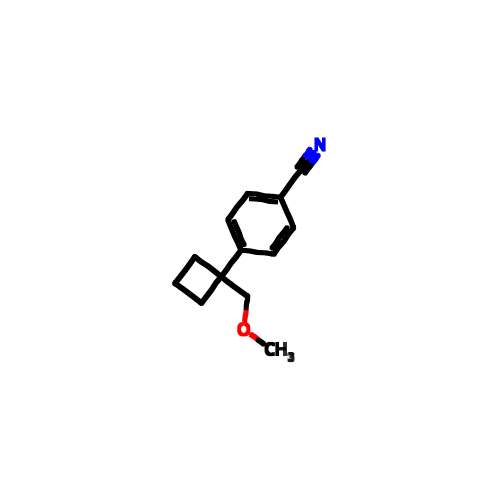 COCC1(c2ccc(C#N)cc2)CCC1